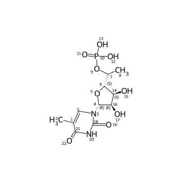 Cc1cn([C@@H]2O[C@H](C(C)OP(=O)(O)O)[C@@H](O)[C@H]2O)c(=O)[nH]c1=O